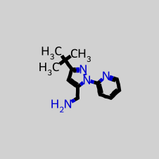 CC(C)(C)c1cc(CN)n(-c2ccccn2)n1